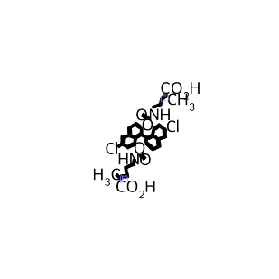 C/C(=C\CCNC(=O)Oc1ccc2cc(Cl)ccc2c1-c1c(OC(=O)NCC/C=C(\C)C(=O)O)ccc2cc(Cl)ccc12)C(=O)O